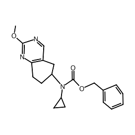 COc1ncc2c(n1)CCC(N(C(=O)OCc1ccccc1)C1CC1)C2